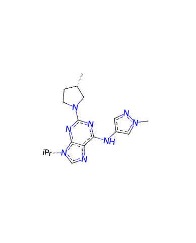 CC(C)n1cnc2c(Nc3cnn(C)c3)nc(N3CC[C@H](C)C3)nc21